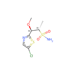 CO[C@H](c1ncc(Cl)s1)[C@H](C)S(N)(=O)=O